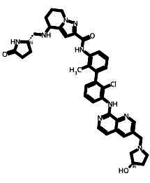 Cc1c(NC(=O)c2cc3n(n2)CCCC3NC[C@@H]2CCC(=O)N2)cccc1-c1cccc(Nc2nccc3cc(CN4CC[C@@H](O)C4)cnc23)c1Cl